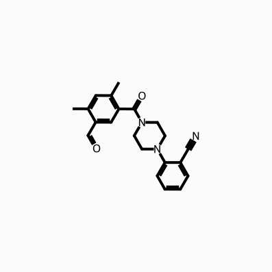 Cc1cc(C)c(C(=O)N2CCN(c3ccccc3C#N)CC2)cc1C=O